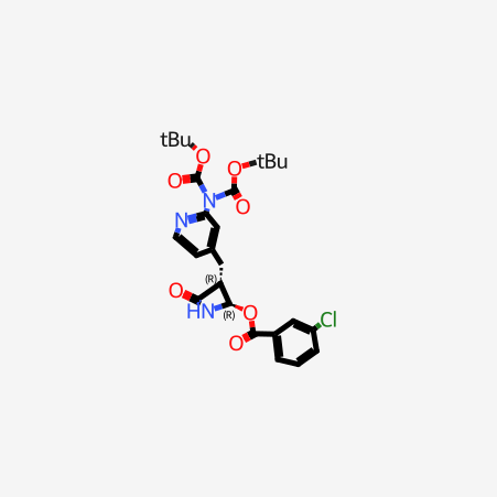 CC(C)(C)OC(=O)N(C(=O)OC(C)(C)C)c1cc(C[C@H]2C(=O)N[C@@H]2OC(=O)c2cccc(Cl)c2)ccn1